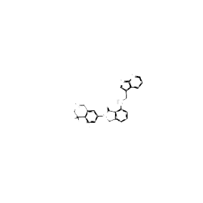 CC1(C)CNCc2cc(N3Cc4cccc(NCc5c[nH]c6ncccc56)c4C3=O)ccc21